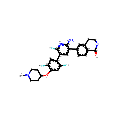 CC(C)N1CCC(Oc2cc(F)c(-c3cc(-c4ccc5c(c4)CCNC5=O)c(N)nc3F)cc2F)CC1